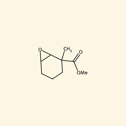 COC(=O)C1(C)CCCC2OC21